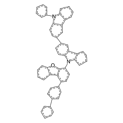 c1ccc(-c2ccc(-c3ccc(-n4c5ccccc5c5cc(-c6ccc7c(c6)c6ccccc6n7-c6ccccc6)ccc54)c4oc5ccccc5c34)cc2)cc1